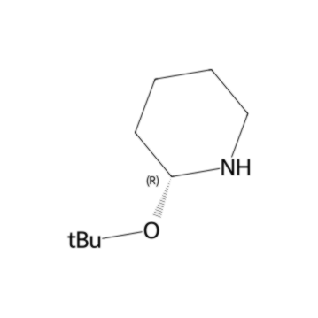 CC(C)(C)O[C@@H]1CCCCN1